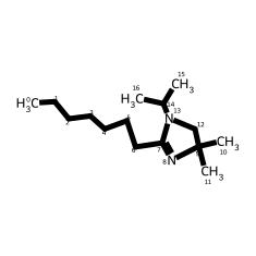 CCCCCCCC1=NC(C)(C)CN1C(C)C